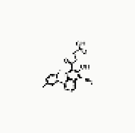 Cc1ccc(F)c(-c2cccc3c(C#N)c(O)c(C(=O)CCC(=O)O)nc23)c1